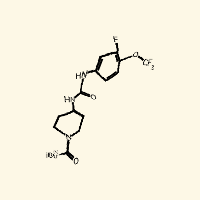 CC[C@H](C)C(=O)N1CCC(NC(=O)Nc2ccc(OC(F)(F)F)c(F)c2)CC1